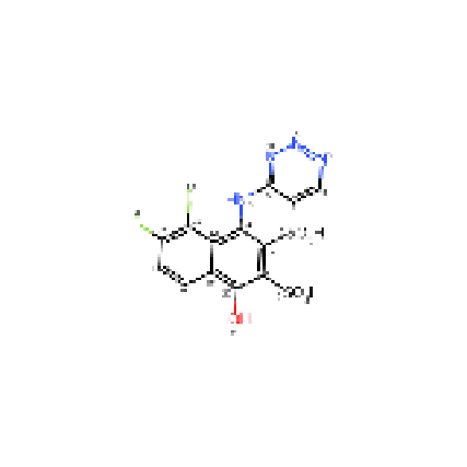 O=S(=O)(O)c1c(S(=O)(=O)O)c(Nc2ccnnn2)c2c(F)c(F)ccc2c1O